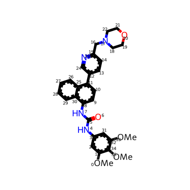 COc1cc(NC(=O)Nc2ccc(-c3ccc(CN4CCOCC4)nc3)c3ccccc23)cc(OC)c1OC